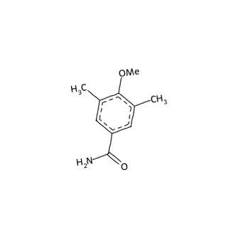 COc1c(C)cc(C(N)=O)cc1C